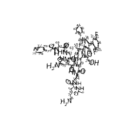 CC(=O)N[C@@H](CCCCN)C(=O)NCCNC(=O)[C@H](CCN(C(=O)CO)[C@@H](c1cc(-c2cc(F)ccc2F)cn1Cc1ccccc1)C(C)(C)C)NC(=O)[C@H](CC(N)=O)NC(=O)[C@@H](C)NC(=O)[C@H](C)NC(=O)Cc1ccncc1